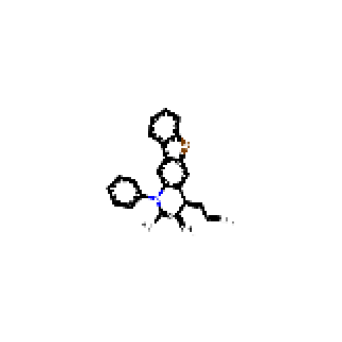 C=C/C=C(\C=C)c1cc2sc3ccccc3c2cc1N(C(=C)C)c1ccccc1